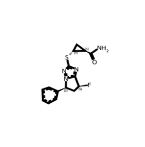 NC(=O)[C@@H]1C[C@H]1Sc1nc2n(n1)[C@H](c1ccccc1)C[C@@H]2F